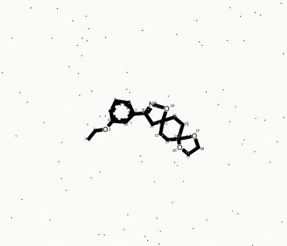 CCOc1cccc(C2=NOC3(CCC4(CC3)OCCO4)C2)c1